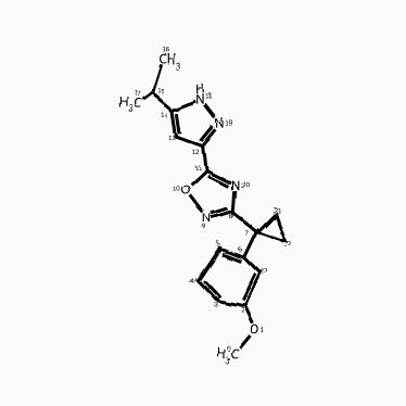 COc1cccc(C2(c3noc(-c4cc(C(C)C)[nH]n4)n3)CC2)c1